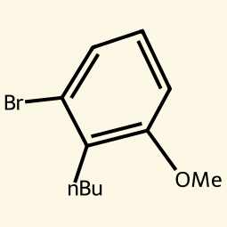 CCCCc1c(Br)cccc1OC